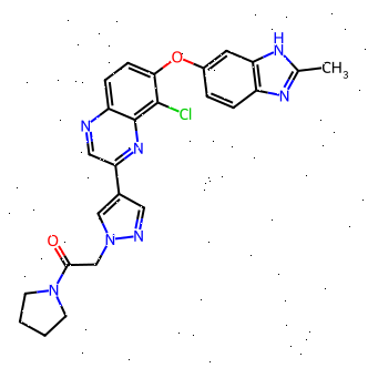 Cc1nc2ccc(Oc3ccc4ncc(-c5cnn(CC(=O)N6CCCC6)c5)nc4c3Cl)cc2[nH]1